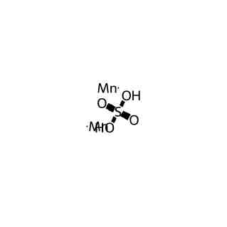 O=S(=O)(O)O.[Mn].[Mn]